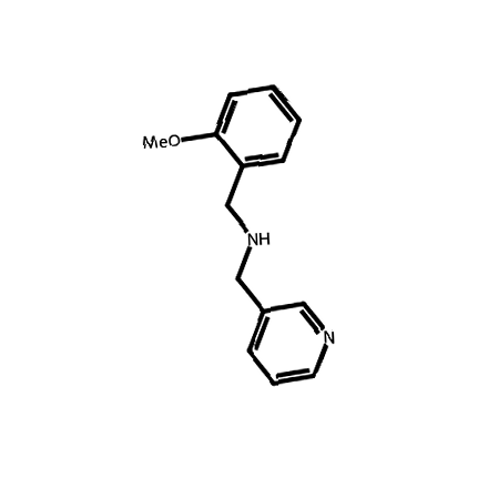 COc1ccccc1CNCc1cccnc1